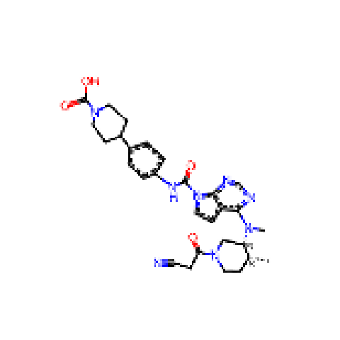 C[C@@H]1CCN(C(=O)CC#N)C[C@@H]1N(C)c1ncnc2c1ccn2C(=O)Nc1ccc(C2CCN(C(=O)O)CC2)cc1